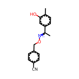 C/C(=N\OCc1ccc(C#N)cc1)c1ccc(C)c(O)c1